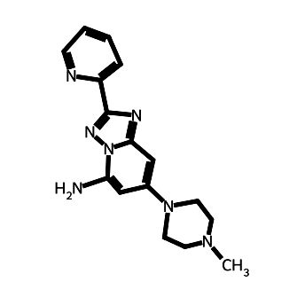 CN1CCN(c2cc(N)n3nc(-c4ccccn4)nc3c2)CC1